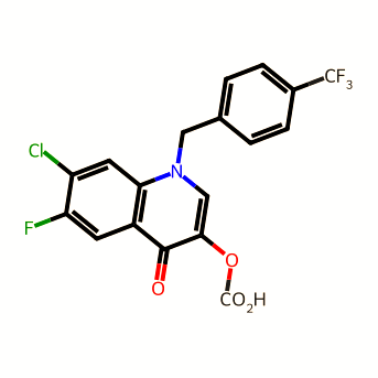 O=C(O)Oc1cn(Cc2ccc(C(F)(F)F)cc2)c2cc(Cl)c(F)cc2c1=O